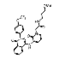 COCCCNC(=O)Cn1cccc(Nc2nn(-c3ccc(OC(F)(F)F)cc3)c(=O)c3ccccc23)c1=O